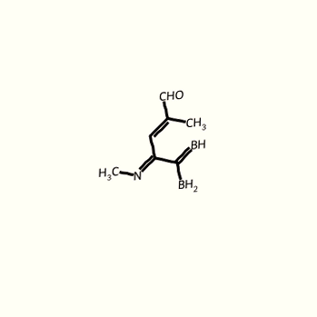 B=C(B)C(/C=C(\C)C=O)=N/C